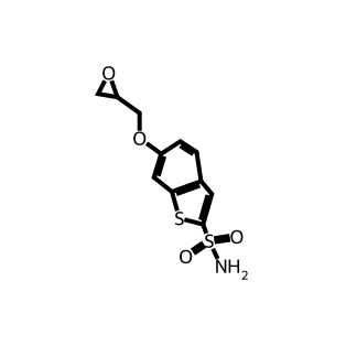 NS(=O)(=O)c1cc2ccc(OCC3CO3)cc2s1